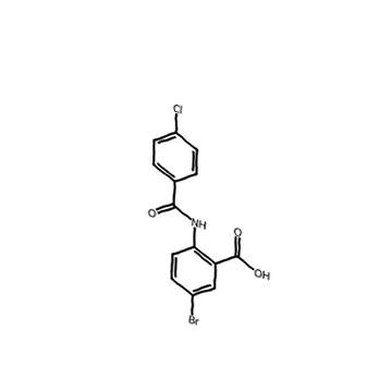 O=C(Nc1ccc(Br)cc1C(=O)O)c1ccc(Cl)cc1